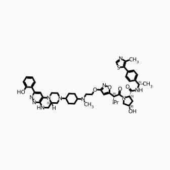 Cc1ncsc1-c1ccc([C@H](C)NC(=O)[C@@H]2C[C@@H](O)CN2C(=O)[C@@H](c2cc(OCCN(C)C3CCC(N4CCN5c6cc(-c7ccccc7O)nnc6NC[C@H]5C4)CC3)no2)C(C)C)cc1